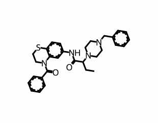 CCC(C(=O)Nc1ccc2c(c1)N(C(=O)c1ccccc1)CCS2)N1CCN(Cc2ccccc2)CC1